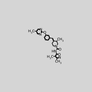 Cc1cnc(Oc2cccc(C=C3CCN(C(=O)Nc4onc(C)c4C)CC3C)c2)nc1